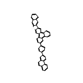 c1ccc2cc3c(cc2c1)oc1cc2c4ccc(-c5ccc(-c6ccc7c(ccc8ccccc87)c6)cc5)cc4c4ccccc4c2cc13